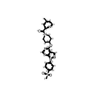 Cc1ccnc(C(=O)N2CCC(Oc3ncnc4c3cnn4-c3ccc(S(C)(=O)=O)cc3)CC2)c1